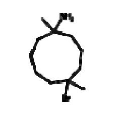 CC1(N)CCCCC(C)(Br)CCC1